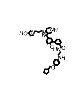 O=C(NCCNc1ccc(OCC2CCCC2)cc1)c1cccc(-c2cc(-c3nn(CCCN4CCC(O)C4)c4c3CNCC4)ccc2Cl)c1